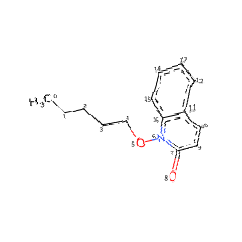 CCCCCOn1c(=O)ccc2ccccc21